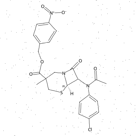 CC(=O)N(c1ccc(Cl)cc1)C1C(=O)N2CC(C)(C(=O)OCc3ccc([N+](=O)[O-])cc3)CS[C@H]12